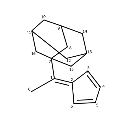 CC(=C1[C]=CC=C1)C12CC3CC(CC(C3)C1)C2